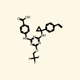 C=Cc1ccc(C2(Nc3nc(Nc4ccc(C(=O)O)cc4)nc(OCC(F)(F)F)n3)CC2)cc1